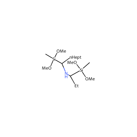 CCCCCCCC(NC(CC)[Si](C)(OC)OC)[Si](C)(OC)OC